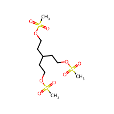 CS(=O)(=O)OCCC(CCOS(C)(=O)=O)CCOS(C)(=O)=O